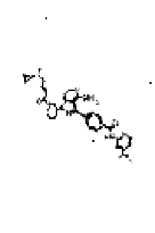 CN(CC=CC(=O)N1CCCC(n2nc(-c3ccc(C(=O)Nc4cc(C(F)(F)F)ccn4)cc3)c3c(N)ncnc32)C1)C1CC1